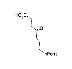 CCCCCCCCC(=O)CCC(=O)O